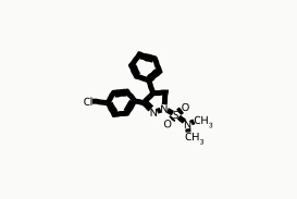 CN(C)S(=O)(=O)N1CC(c2ccccc2)C(c2ccc(Cl)cc2)=N1